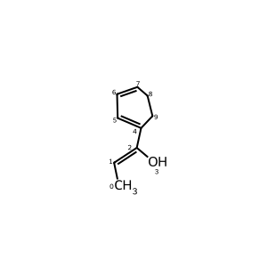 CC=C(O)C1=CC=CCC1